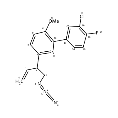 C=CC(CN=[N+]=[N-])c1ccc(OC)c(-c2ccc(F)c(Cl)c2)n1